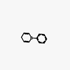 C1=CB(c2ccccc2)C=CC1